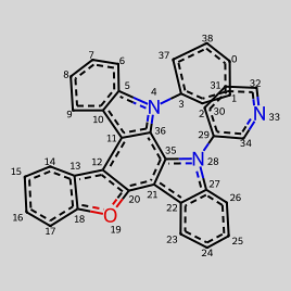 c1ccc(-n2c3ccccc3c3c4c5ccccc5oc4c4c5ccccc5n(-c5cccnc5)c4c32)cc1